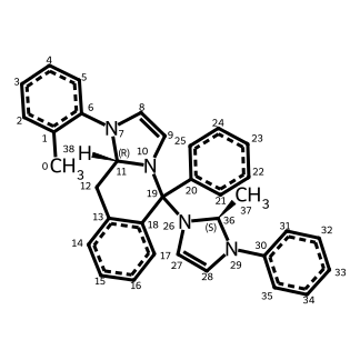 Cc1ccccc1N1C=CN2[C@@H]1Cc1ccccc1C2(c1ccccc1)N1C=CN(c2ccccc2)[C@@H]1C